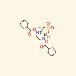 O=C(ON1CCN(OC(=O)c2ccccc2)[C@H]2CS(=O)(=O)C[C@H]21)c1ccccc1